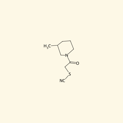 CC1CCCN(C(=O)CSC#N)C1